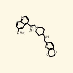 COc1ccc2nccc([C@@H](O)CN3CCC(NCc4ccc5c(n4)OCCO5)CC3)c2c1